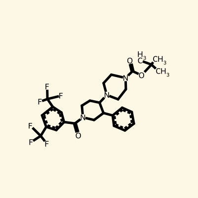 CC(C)(C)OC(=O)N1CCN(C2CCN(C(=O)c3cc(C(F)(F)F)cc(C(F)(F)F)c3)CC2c2ccccc2)CC1